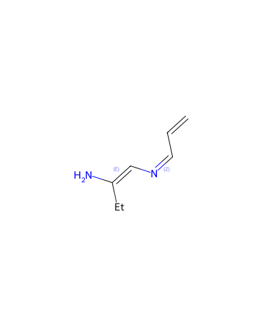 C=C/C=N\C=C(\N)CC